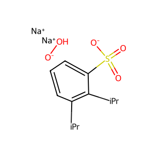 CC(C)c1cccc(S(=O)(=O)[O-])c1C(C)C.[Na+].[Na+].[O-]O